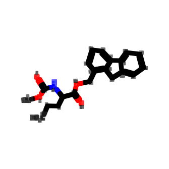 CC(C)(C)OC(=O)NC(CCC(=O)O)C(=O)OCc1cccc2c1Cc1ccccc1-2